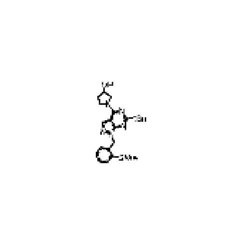 CSc1ccccc1Cn1ncc2c(N3CCC(O)C3)nc(C(C)(C)C)nc21